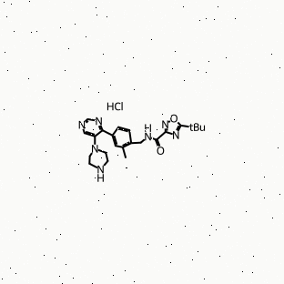 Cc1cc(-c2ncncc2N2CCNCC2)ccc1CNC(=O)c1noc(C(C)(C)C)n1.Cl